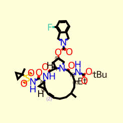 CC[C@@H]1CC(C)CC/C=C\[C@@H]2C[C@@]2(C(=O)NS(=O)(=O)C2(C)CC2)NC(=O)[C@@H]2C[C@@H](OC(=O)N3Cc4cccc(F)c4C3)CN2C(=O)[C@H]1NC(=O)OC(C)(C)C